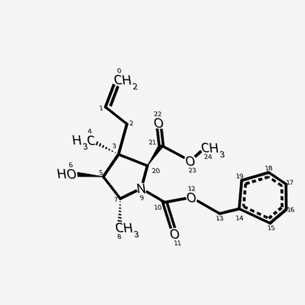 C=CC[C@]1(C)[C@H](O)[C@@H](C)N(C(=O)OCc2ccccc2)[C@@H]1C(=O)OC